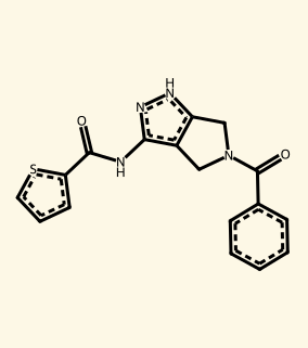 O=C(Nc1n[nH]c2c1CN(C(=O)c1ccccc1)C2)c1cccs1